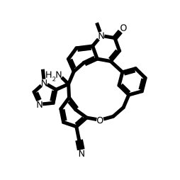 Cn1cncc1C1(N)c2ccc(C#N)c(c2)OCCc2cccc(c2)-c2cc(=O)n(C)c3ccc1cc23